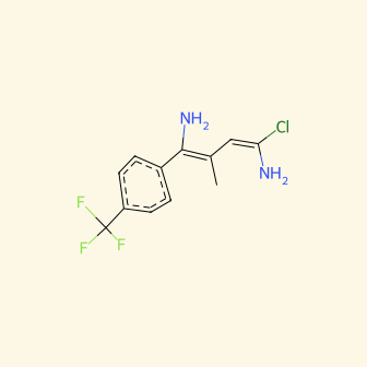 CC(/C=C(\N)Cl)=C(/N)c1ccc(C(F)(F)F)cc1